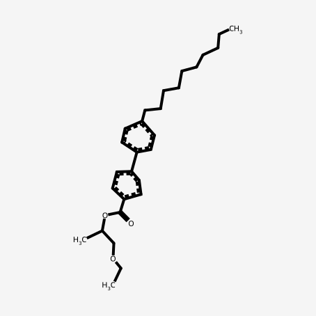 CCCCCCCCCCc1ccc(-c2ccc(C(=O)OC(C)COCC)cc2)cc1